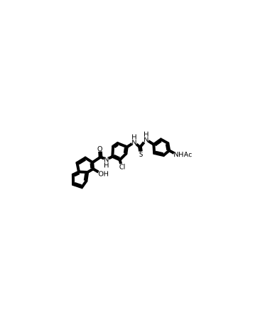 CC(=O)Nc1ccc(NC(=S)Nc2ccc(NC(=O)c3ccc4ccccc4c3O)c(Cl)c2)cc1